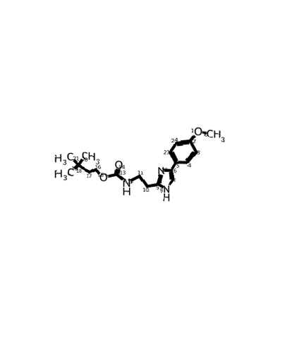 COc1ccc(-c2c[nH]c(CCNC(=O)OCCC(C)(C)C)n2)cc1